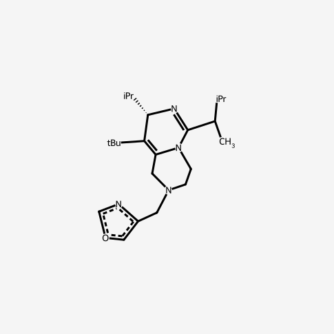 CC(C)C(C)C1=N[C@@H](C(C)C)C(C(C)(C)C)=C2CN(Cc3cocn3)CCN12